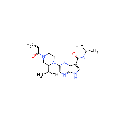 C=CC(=O)N1CCN(C2=CN=C3NC=C(C(=O)NC(C)C)C3N2)C(C(C)C)C1